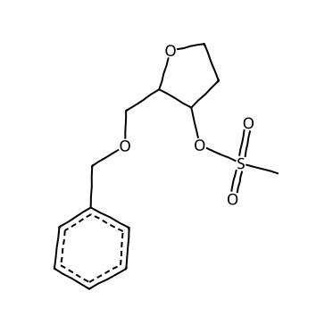 CS(=O)(=O)OC1CCOC1COCc1ccccc1